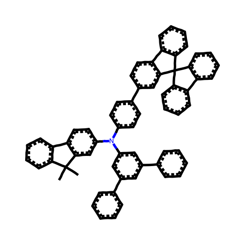 CC1(C)c2ccccc2-c2ccc(N(c3ccc(-c4ccc5c(c4)C4(c6ccccc6-c6ccccc64)c4ccccc4-5)cc3)c3cc(-c4ccccc4)cc(-c4ccccc4)c3)cc21